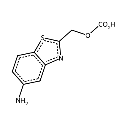 Nc1ccc2sc(COC(=O)O)nc2c1